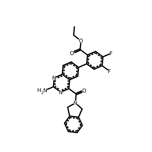 CCOC(=O)c1cc(F)c(F)cc1-c1ccc2nc(N)nc(C(=O)N3Cc4ccccc4C3)c2c1